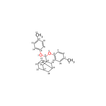 Cc1ccc(OC(Oc2ccc(C)cc2)C23CC4CC(CC(C4)C2)C3)cc1